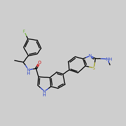 CNc1nc2ccc(-c3ccc4[nH]cc(C(=O)NC(C)c5cccc(F)c5)c4c3)cc2s1